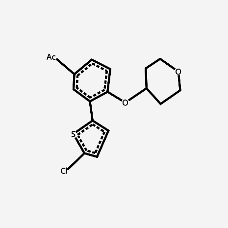 CC(=O)c1ccc(OC2CCOCC2)c(-c2ccc(Cl)s2)c1